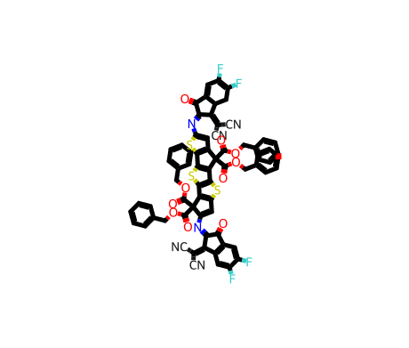 N#CC(C#N)=C1/C(=N/C2=Cc3sc4c5c(sc4c3C2(C(=O)OCc2ccccc2)C(=O)OCc2ccccc2)-c2sc(/N=C3/C(=O)C4=CC(F)=C(F)CC4C3=C(C#N)C#N)cc2C5(C(=O)OCc2ccccc2)C(=O)OCc2ccccc2)C(=O)c2cc(F)c(F)cc21